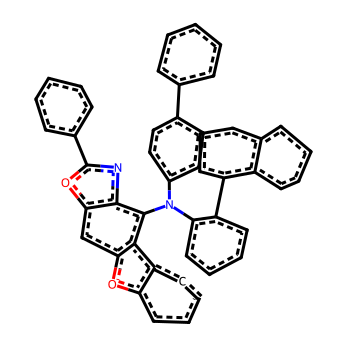 c1ccc(-c2ccc(N(c3ccccc3-c3cccc4ccccc34)c3c4nc(-c5ccccc5)oc4cc4oc5ccccc5c34)cc2)cc1